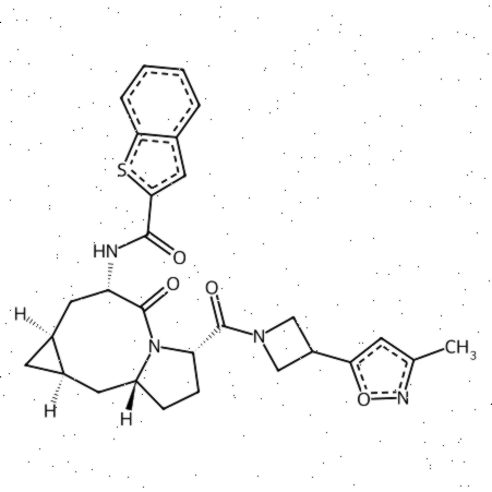 Cc1cc(C2CN(C(=O)[C@@H]3CC[C@@H]4C[C@H]5C[C@H]5C[C@H](NC(=O)c5cc6ccccc6s5)C(=O)N43)C2)on1